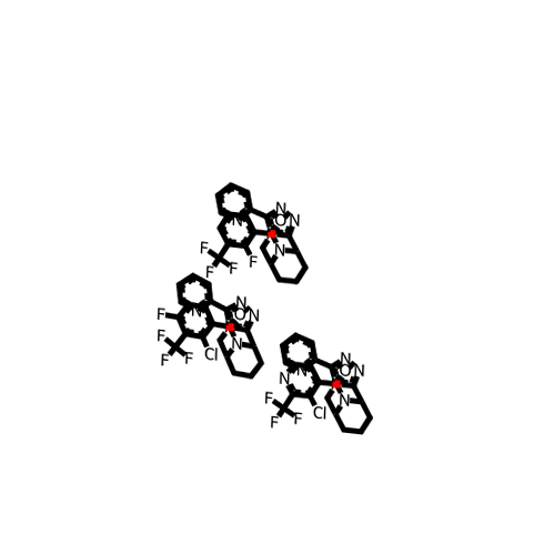 O=C(c1ccc(F)c(C(F)(F)F)c1Cl)N1C2CCCC1c1nnc(-c3ccccn3)n1C2.O=C(c1cccc(C(F)(F)F)c1F)N1C2CCCC1c1nnc(-c3ccccn3)n1C2.O=C(c1ccnc(C(F)(F)F)c1Cl)N1C2CCCC1c1nnc(-c3ccccn3)n1C2